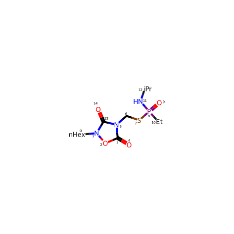 CCCCCCn1oc(=O)n(CSP(=O)(CC)NC(C)C)c1=O